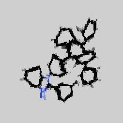 CCC1C=CC=C(C2NC3=C(C=CCC3)N2C2CC=C(c3c4c(c(C5=CC=CCC5)c5ccc(-c6ccccc6)cc35)=CCCC=4)CC2)C1